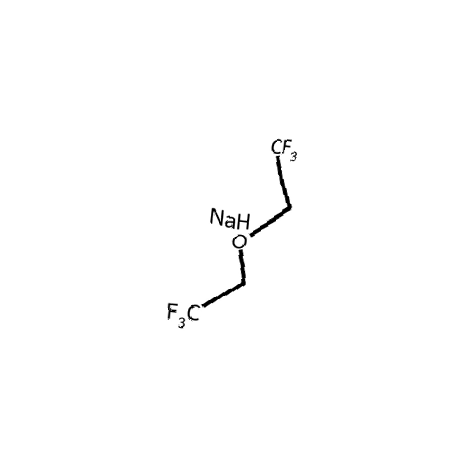 FC(F)(F)COCC(F)(F)F.[NaH]